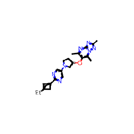 CCC12CC(c3ncc(N4CC[C@@H](Oc5c(C)nc6nc(C)nn6c5C)C4)cn3)(C1)C2